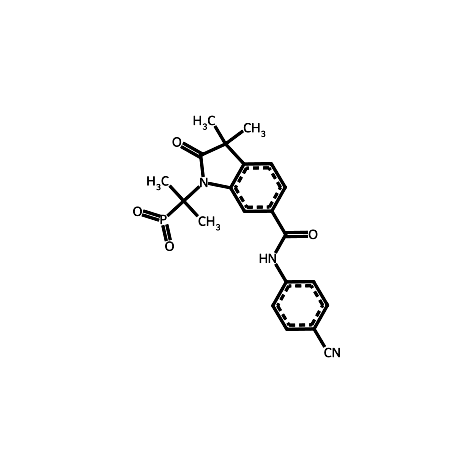 CC1(C)C(=O)N(C(C)(C)P(=O)=O)c2cc(C(=O)Nc3ccc(C#N)cc3)ccc21